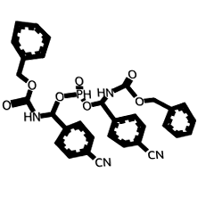 N#Cc1ccc(C(NC(=O)OCc2ccccc2)O[PH](=O)OC(NC(=O)OCc2ccccc2)c2ccc(C#N)cc2)cc1